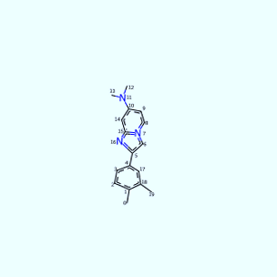 Cc1ccc(-c2cn3ccc(N(C)C)cc3n2)cc1C